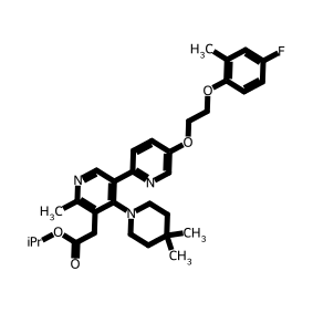 Cc1cc(F)ccc1OCCOc1ccc(-c2cnc(C)c(CC(=O)OC(C)C)c2N2CCC(C)(C)CC2)nc1